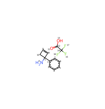 NC1(c2ccccc2)C=CC1.O=C(O)C(F)(F)F